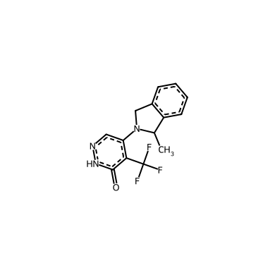 CC1c2ccccc2CN1c1cn[nH]c(=O)c1C(F)(F)F